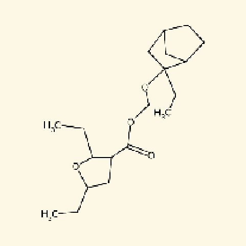 CCC1CC(C(=O)OCOC2(CC)CC3CCC2C3)C(CC)O1